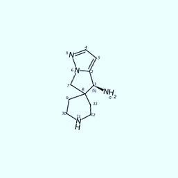 N[C@@H]1c2ccnn2CC12CCNCC2